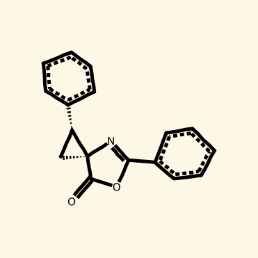 O=C1OC(c2ccccc2)=N[C@@]12C[C@@H]2c1ccccc1